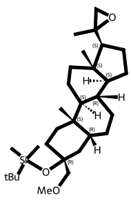 COC[C@@]1(O[Si](C)(C)C(C)(C)C)CC[C@@]2(C)[C@H](CC[C@@H]3[C@@H]2CC[C@]2(C)[C@@H](C4(C)CO4)CC[C@@H]32)C1